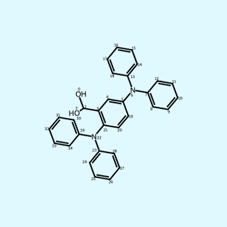 OC(O)c1cc(N(c2ccccc2)c2ccccc2)ccc1N(c1ccccc1)c1ccccc1